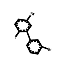 Brc1cccc(-c2cc(Br)ccc2I)c1